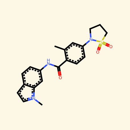 Cc1cc(N2CCCS2(=O)=O)ccc1C(=O)Nc1ccc2ccn(C)c2c1